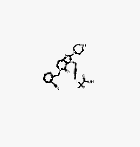 CC#CCn1c(N2CCNCC2)nc2ccn(Cc3ccccc3C#N)c(=O)c21.O=C(O)C(F)(F)F